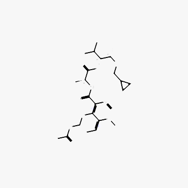 C=N/C(C(=O)N[C@@H](C)C(=O)O[C@H](C(C)C)[C@H](C)OCC1CC1)=C(OCOC(C)=O)\C(=C/C)OC